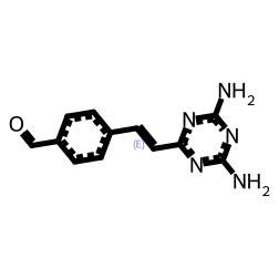 Nc1nc(N)nc(/C=C/c2ccc(C=O)cc2)n1